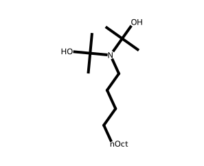 CCCCCCCCCCCCN(C(C)(C)O)C(C)(C)O